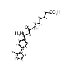 Cc1ncsc1-c1ccc([C@@H](N)CC(=O)NCCCCCC(=O)O)cc1